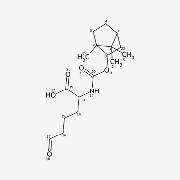 CC1(C)C2CCC1(C)C(OC(=O)NC(CCC[C]=O)C(=O)O)C2